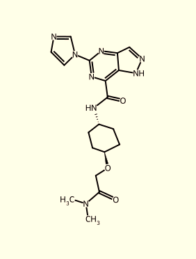 CN(C)C(=O)CO[C@H]1CC[C@H](NC(=O)c2nc(-n3ccnc3)nc3cn[nH]c23)CC1